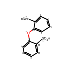 CCCCCCCCCCc1ccccc1Oc1ccccc1S(=O)(=O)O